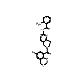 O=C(Nc1ncc2c(n1)CCN(C(=O)c1cc(F)cc3c1OCOC3)C2)c1ccccc1C(F)(F)F